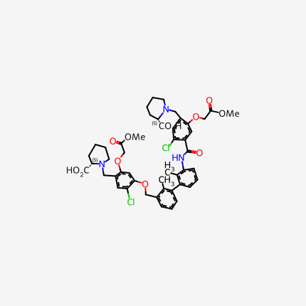 COC(=O)COc1cc(OCc2cccc(-c3cccc(NC(=O)c4cc(OCC(=O)OC)c(CN5CCCC[C@H]5C(=O)O)cc4Cl)c3C)c2C)c(Cl)cc1CN1CCCC[C@H]1C(=O)O